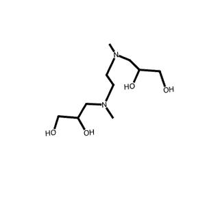 CN(CCN(C)CC(O)CO)CC(O)CO